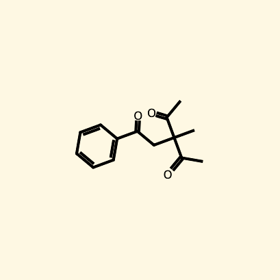 CC(=O)C(C)(CC(=O)c1ccccc1)C(C)=O